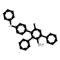 Cc1cc(-c2ccccc2)c(S(=O)(=O)O)c(-c2ccccc2)c1-c1ccc(Sc2ccccc2)cc1